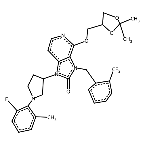 Cc1cccc(F)c1N1CCC(n2c(=O)n(Cc3ccccc3C(F)(F)F)c3c(OCC4COC(C)(C)O4)nccc32)C1